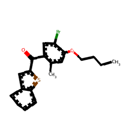 CCCCOc1cc(C)c(C(=O)c2cc3ccccc3s2)cc1Br